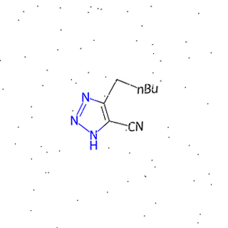 CCCCCc1nn[nH]c1C#N